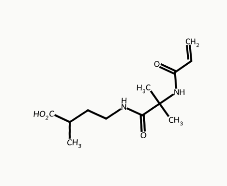 C=CC(=O)NC(C)(C)C(=O)NCCC(C)C(=O)O